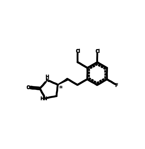 O=C1NC[C@H](CCc2cc(F)cc(Cl)c2CCl)N1